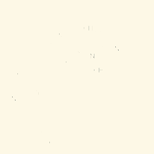 C[C@@H](Oc1ccc(Oc2nc3ccc(Cl)cc3o2)cc1)C(=O)N(C)c1nc2ccccc2s1